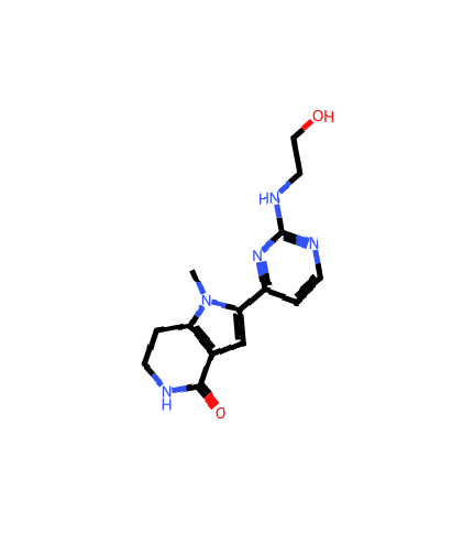 Cn1c(-c2ccnc(NCCO)n2)cc2c1CCNC2=O